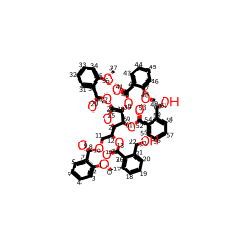 COc1ccccc1C(=O)OCC(OC(=O)c1ccccc1CO)C1OC(OC(=O)c2ccccc2OC)C(OC(=O)c2ccccc2OC)C1OC(=O)c1ccccc1CO